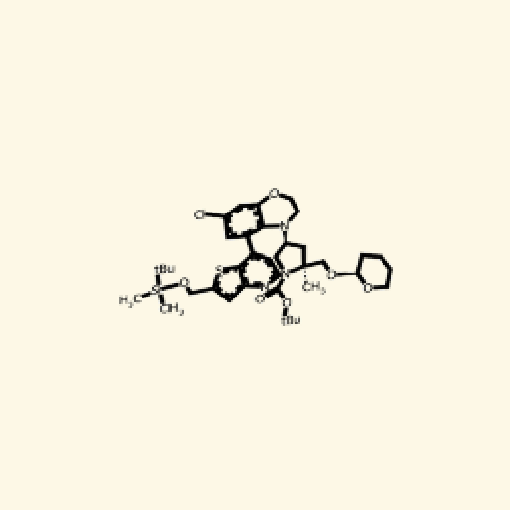 CC(C)(C)OC(=O)N1C[C@@H](N2CCOc3cc(Cl)cc(-c4ccnc5cc(CO[Si](C)(C)C(C)(C)C)sc45)c32)C[C@@]1(C)CO[C@H]1CCCCO1